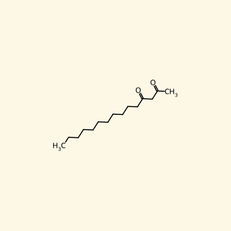 CCCCCCCCCCCC(=O)CC(C)=O